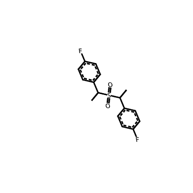 CC(c1ccc(F)cc1)S(=O)(=O)C(C)c1ccc(F)cc1